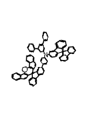 c1ccc(-c2cc(-c3ccccc3)cc(N(c3ccc(-c4ccc5c(c4)C4(c6ccccc6-5)c5ccc6ccccc6c5Oc5c4ccc4ccccc54)cc3)c3ccc4c(c3)-c3ccccc3C43c4ccccc4-c4ccccc43)c2)cc1